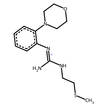 CSCCN/C(N)=N/c1ccccc1N1CCOCC1